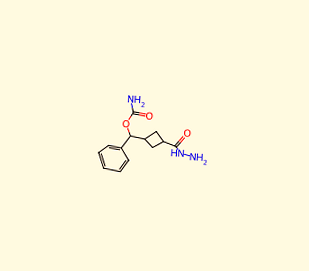 NNC(=O)C1CC(C(OC(N)=O)c2ccccc2)C1